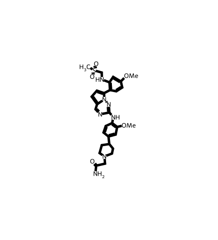 COc1ccc(-c2ccc3cnc(Nc4ccc(C5CCN(CC(N)=O)CC5)cc4OC)nn23)c(NCS(C)(=O)=O)c1